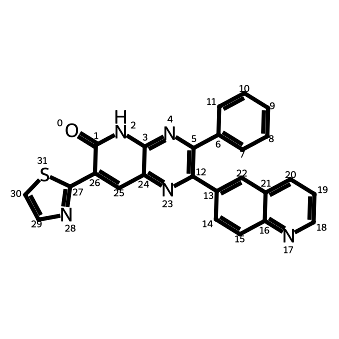 O=c1[nH]c2nc(-c3ccccc3)c(-c3ccc4ncccc4c3)nc2cc1-c1nccs1